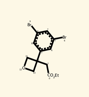 CCOC(=O)CC1(c2cc(Br)cc(Br)c2)COC1